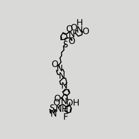 O=C1CCC(N2C(=O)c3cccc(SCCCCCCC(=O)N4CCN(C5CCN(c6ccc7c(c6)C(=O)N(C(C(=O)Nc6nccs6)c6cc(F)ccc6O)C7)CC5)CC4)c3C2=O)C(=O)N1